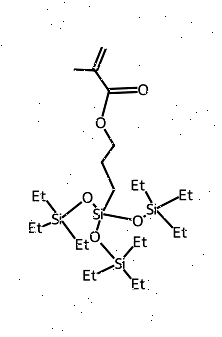 C=C(C)C(=O)OCCC[Si](O[Si](CC)(CC)CC)(O[Si](CC)(CC)CC)O[Si](CC)(CC)CC